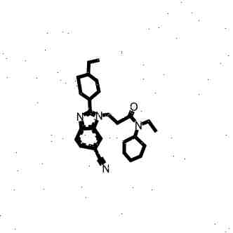 CCC1CCC(c2nc3ccc(C#N)cc3n2CCC(=O)N(CC)C2CCCCC2)CC1